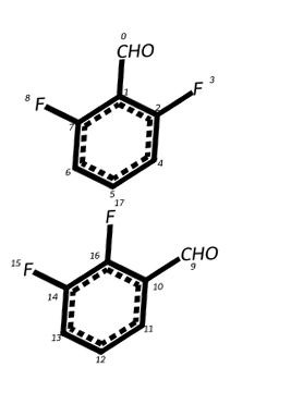 O=Cc1c(F)cccc1F.O=Cc1cccc(F)c1F